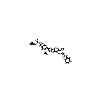 CCCCOC(=O)NCc1ccc(-c2cn3c(n2)sc2cc(C(=O)NCCCN4CCCCC4)ccc23)c(C2CC2)c1